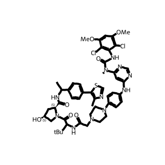 COc1cc(OC)c(Cl)c(NC(=O)N(C)c2cc(Nc3ccc(N4CCN(CC(=O)NC(C(=O)N5C[C@@H](O)C[C@H]5C(=O)NC(C)c5ccc(-c6scnc6C)cc5)C(C)(C)C)CC4)cc3)ncn2)c1Cl